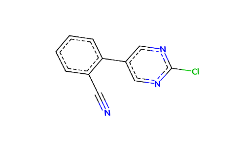 N#Cc1ccccc1-c1cnc(Cl)nc1